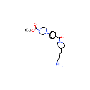 CC(C)(C)OC(=O)N1CCN(c2ccc(C(=O)N3CCC(CCCCN)CC3)cc2)CC1